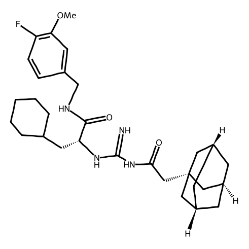 COc1cc(CNC(=O)[C@@H](CC2CCCCC2)NC(=N)NC(=O)C[C@]23C[C@H]4C[C@H](C[C@H](C4)C2)C3)ccc1F